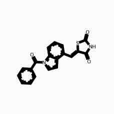 O=C1NC(=O)/C(=C/c2cccc3c2ccn3C(=O)c2ccccc2)S1